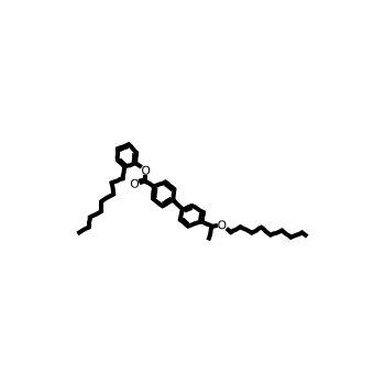 CCCCCCCCCOC(C)c1ccc(-c2ccc(C(=O)Oc3ccccc3CCCCCCCC)cc2)cc1